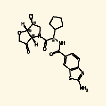 Nc1nc2ccc(C(=O)N[C@H](C(=O)N3C[C@H](Cl)[C@H]4OCC(=O)[C@H]43)C3CCCC3)cc2s1